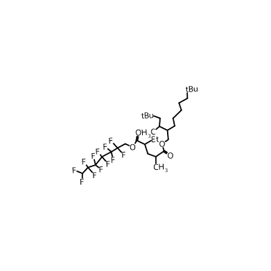 CCC(CC(C)C(=O)OCC(CCCCCC(C)(C)C)C(C)CC(C)(C)C)C(=O)OCC(F)(F)C(F)(F)C(F)(F)C(F)(F)C(F)(F)C(F)F